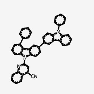 N#Cc1cc(-n2c3ccc(-c4ccc5c(c4)c4ccccc4n5-c4ccccc4)cc3c3c(-c4ccccc4)cccc32)nc2ccccc12